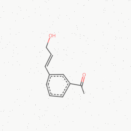 CC(=O)c1cccc(C=CCO)c1